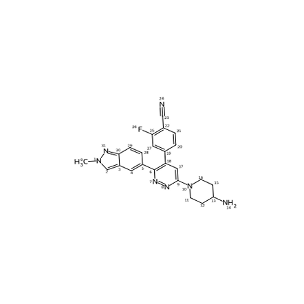 Cn1cc2cc(-c3nnc(N4CCC(N)CC4)cc3-c3ccc(C#N)c(F)c3)ccc2n1